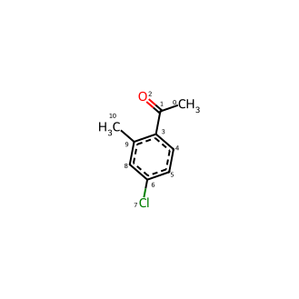 CC(=O)c1ccc(Cl)cc1C